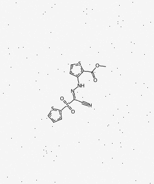 COC(=O)c1sccc1N/N=C(\C#N)S(=O)(=O)c1cccs1